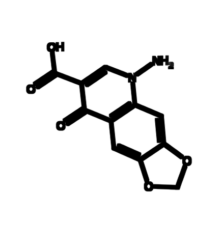 Nn1cc(C(=O)O)c(=O)c2cc3c(cc21)OCO3